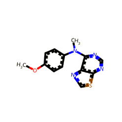 COc1ccc(N(C)c2ncnc3scnc23)cc1